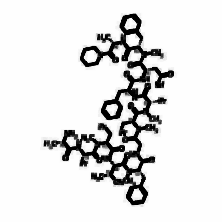 CC(C)C[C@@H](C(=O)N(C)[C@H](C(=O)N[C@@H](Cc1ccccc1)C(=O)N[C@@H](CC(=O)S)C(=O)N(C)[C@@H](Cc1ccccc1)C(=O)N[C@@H](C)C(=O)N1CCCCC1)C(C)C)N(C)C(=O)CNC(=O)[C@H](Cc1ccccc1)N(C)C(=O)[C@@H](NC(=O)[C@H](CC(C)C)N(C)C(=O)[C@@H](NC(=O)[C@H](C)N)C(C)C)[C@@H](C)O